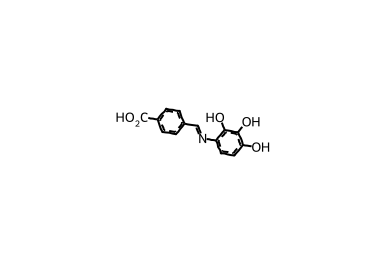 O=C(O)c1ccc(/C=N/c2ccc(O)c(O)c2O)cc1